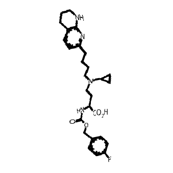 O=C(NC(CCN(CCCCc1ccc2c(n1)NCCC2)C1CC1)C(=O)O)OCc1ccc(F)cc1